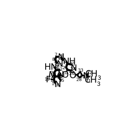 COc1cc(Nc2nccc(Nc3cnc4cncc(F)c4c3)n2)cnc1OC1CC(N(C)C)C1